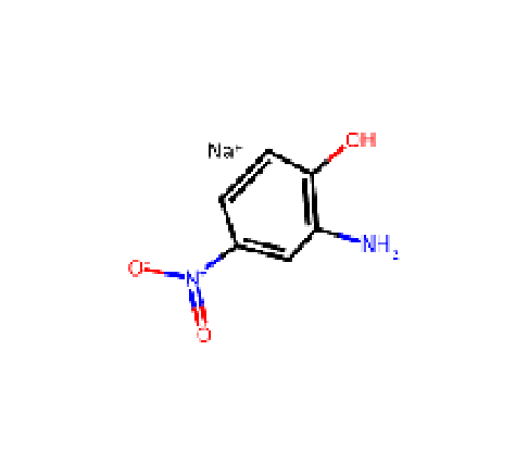 Nc1cc([N+](=O)[O-])ccc1O.[Na+]